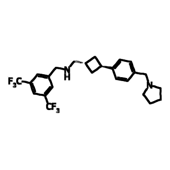 FC(F)(F)c1cc(CNC[C@H]2C[C@H](c3ccc(CN4CCCC4)cc3)C2)cc(C(F)(F)F)c1